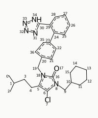 CC(C)CCc1c(Cl)n(CC2CCCCC2)c(=O)n1Cc1ccc(-c2ccccc2-c2nnn[nH]2)cc1